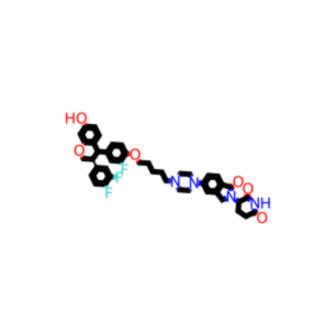 O=C1CCC(N2Cc3cc(N4CCN(CCCCCOc5ccc(C6c7ccc(O)cc7OC[C@@H]6c6ccc(F)c(F)c6)cc5F)CC4)ccc3C2=O)C(=O)N1